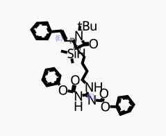 C[SiH](C)[C@@]1(CCCCN/C(=N\C(=O)Oc2ccccc2)NC(=O)Oc2ccccc2)C(=O)N(C(C)(C)C)[C@@H]1/C=C/c1ccccc1